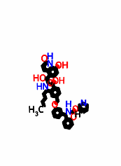 CCCCCC(NC[C@H](O)c1ccc(O)c2[nH]c(=O)ccc12)c1cc(COc2cccc(C(NC(=O)O[C@H]3CN4CCC3CC4)c3ccccc3)c2)ccc1C(=O)O